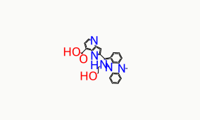 CN(c1ccccc1)c1cccc2c(-c3cc4nccc(C(=O)O)c4[nH]3)n(CCO)nc12